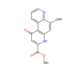 CCCCOC(=O)c1cc(=O)c2c(cc(OC)c3ncccc32)[nH]1